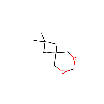 CC1(C)CC2(COCOC2)C1